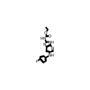 CCOC(=O)Nc1nc2cc(Nc3ccc(F)cc3)cnc2[nH]1